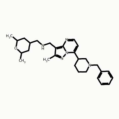 Cc1nn2c(C3CCCN(Cc4ccccc4)C3)ccnc2c1CNCC1CC(C)OC(C)C1